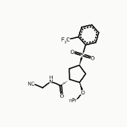 CCCO[C@@H]1C[C@H](S(=O)(=O)c2ccccc2C(F)(F)F)C[C@H]1C(=O)NCC#N